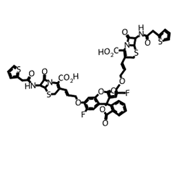 O=C(Cc1cccs1)NC1C(=O)N2C(C(=O)O)=C(C=CCOc3cc4c(cc3F)C3(OC(=O)c5ccccc53)c3cc(F)c(OCC=CC5=C(C(=O)O)N6C(=O)C(NC(=O)Cc7cccs7)C6SC5)cc3O4)CSC12